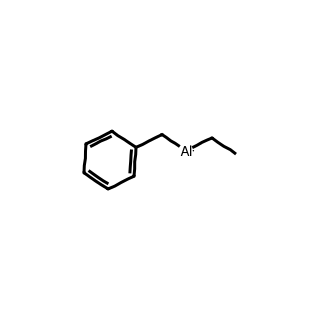 C[CH2][Al][CH2]c1ccccc1